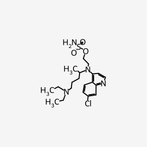 CCN(CC)CCCC(C)N(CCOS(N)(=O)=O)c1ccnc2cc(Cl)ccc12